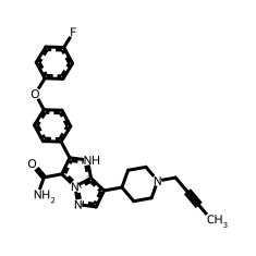 CC#CCN1CCC(c2cnn3c(C(N)=O)c(-c4ccc(Oc5ccc(F)cc5)cc4)[nH]c23)CC1